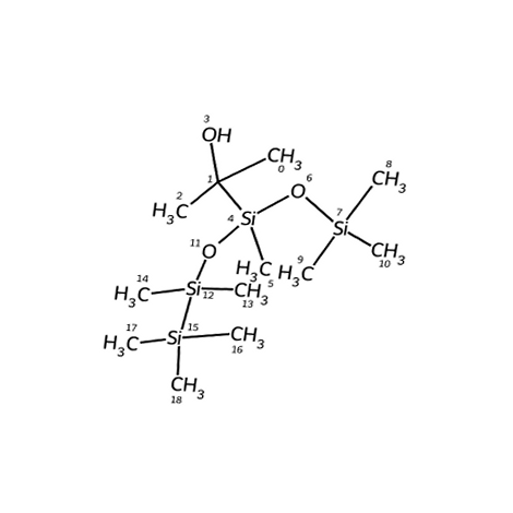 CC(C)(O)[Si](C)(O[Si](C)(C)C)O[Si](C)(C)[Si](C)(C)C